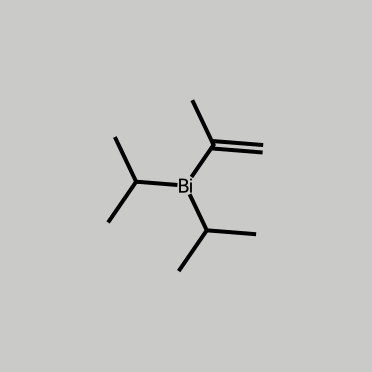 C=[C](C)[Bi]([CH](C)C)[CH](C)C